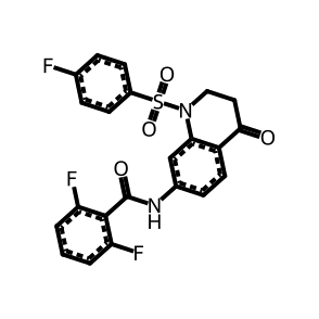 O=C1CCN(S(=O)(=O)c2ccc(F)cc2)c2cc(NC(=O)c3c(F)cccc3F)ccc21